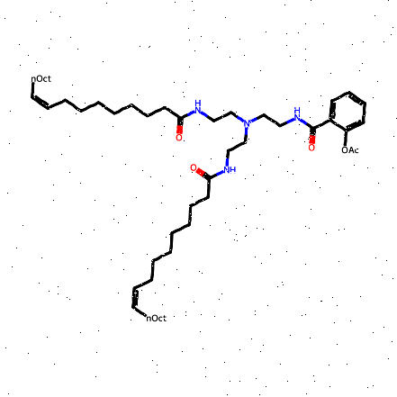 CCCCCCCC/C=C\CCCCCCCC(=O)NCCN(CCNC(=O)CCCCCCC/C=C\CCCCCCCC)CCNC(=O)c1ccccc1OC(C)=O